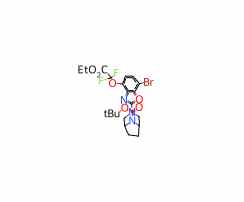 CCOC(=O)C(F)(F)Oc1ccc(Br)c2oc(N3CC4CCC(C3)N4C(=O)OC(C)(C)C)nc12